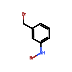 BrCc1cccc(NBr)c1